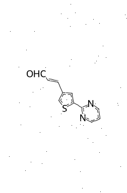 O=C/C=C/c1csc(-c2ncccn2)c1